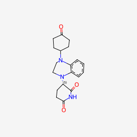 O=C1CCC(N2CCN([C@H]3CCC(=O)NC3=O)c3ccccc32)CC1